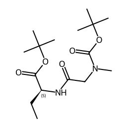 CC[C@H](NC(=O)CN(C)C(=O)OC(C)(C)C)C(=O)OC(C)(C)C